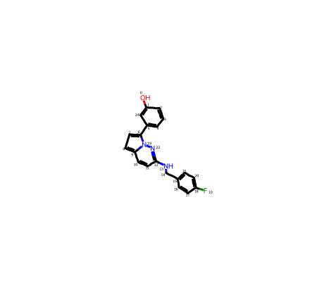 Oc1cccc(-c2ccc3ccc(NCc4ccc(F)cc4)nn23)c1